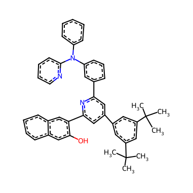 CC(C)(C)c1cc(-c2cc(-c3cccc(N(c4ccccc4)c4ccccn4)c3)nc(-c3cc4ccccc4cc3O)c2)cc(C(C)(C)C)c1